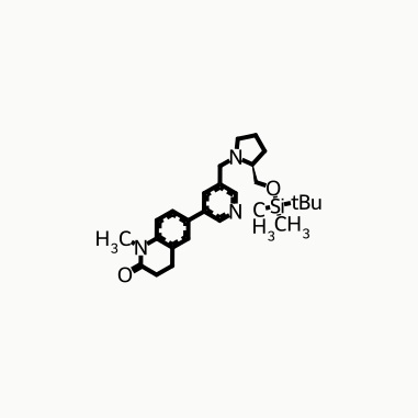 CN1C(=O)CCc2cc(-c3cncc(CN4CCC[C@H]4CO[Si](C)(C)C(C)(C)C)c3)ccc21